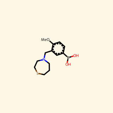 COc1ccc(B(O)O)cc1CN1CCCSCC1